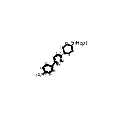 CCCCCCC[C@H]1CC[C@H](c2ccc(-c3ccc(CCC)cc3)nn2)CC1